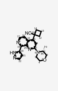 C[C@@H]1COCCN1c1cc(C2(C#N)CCC2)c2ccnc(-c3ccn[nH]3)c2n1